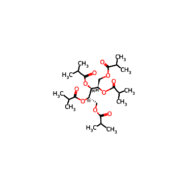 CC(C)C(=O)OC[C@H](OC(=O)C(C)C)[C@@H](OC(=O)C(C)C)[C@@H](COC(=O)C(C)C)OC(=O)C(C)C